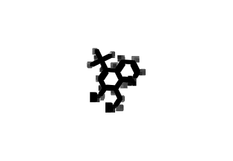 CC(C)(C)c1cc(Br)c(CBr)c2ncccc12